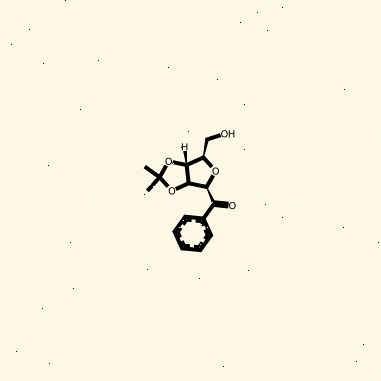 CC1(C)OC2[C@H](C(=O)c3ccccc3)O[C@H](CO)[C@H]2O1